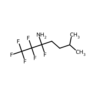 CC(C)CCC(N)(F)C(F)(F)C(F)(F)F